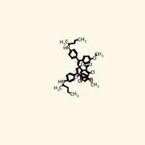 CCCC(C)Nc1ccc(/C(=C/C2(/C=C(/c3ccc(NC(C)CCC)cc3)c3ccc(OC)cc3)OC(=O)c3c(Cl)c(Cl)c(Cl)c(Cl)c32)c2ccc(OC)cc2)cc1